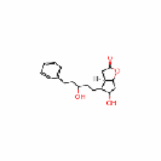 O=C1C[C@H]2C(CC(O)C2CC[C@@H](O)CCc2ccccc2)O1